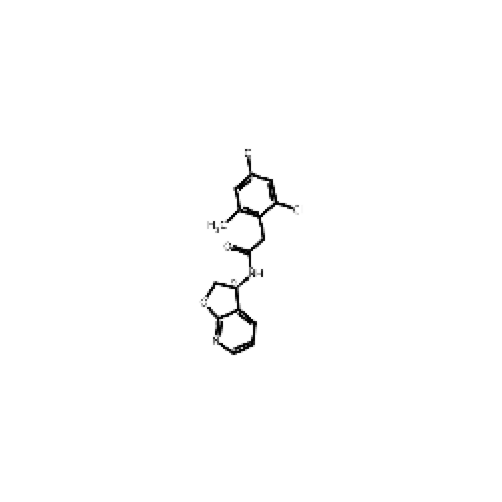 Cc1cc(Cl)cc(Cl)c1CC(=O)N[C@@H]1COc2ncccc21